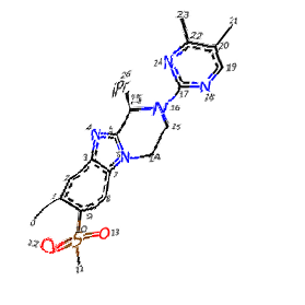 Cc1cc2nc3n(c2cc1S(C)(=O)=O)CCN(c1ncc(C)c(C)n1)[C@@H]3C(C)C